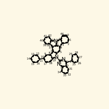 c1ccc2c3cc4c(c5cc(-c6ccccc6)ccc5n4-c4nc(-c5ccccc5)c5ccccc5n4)c4c5ccccc5n(c2c#1)c34